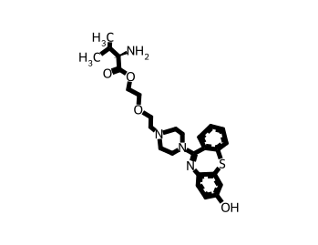 CC(C)[C@@H](N)C(=O)OCCOCCN1CCN(C2=Nc3ccc(O)cc3Sc3ccccc32)CC1